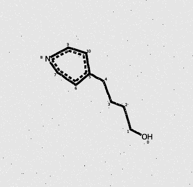 OCCCCc1ccncc1